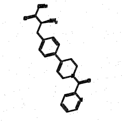 COC(=O)[C@@H](N)Cc1ccc(C2=CCN(C(=O)c3ccccn3)CC2)cc1